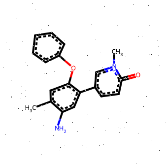 Cc1cc(Oc2ccccc2)c(-c2ccc(=O)n(C)c2)cc1N